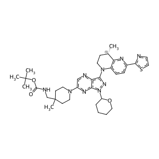 C[C@H]1CCN(c2nn(C3CCCCO3)c3nc(N4CCC(C)(CNC(=O)OC(C)(C)C)CC4)cnc23)c2ccc(-c3nccs3)nc21